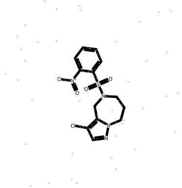 O=[N+]([O-])c1ccccc1S(=O)(=O)N1CCCn2ncc(Cl)c2C1